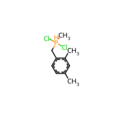 Cc1ccc(C[PH](C)(Cl)Cl)c(C)c1